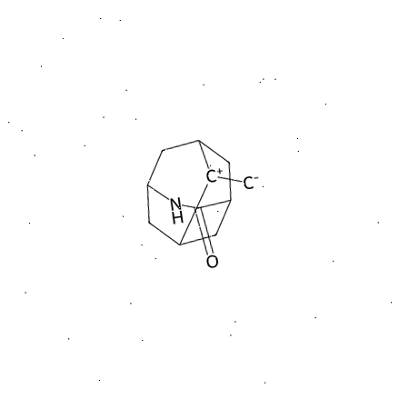 [CH2-][C+]1C2CC3CC1CC(C2)C(=O)N3